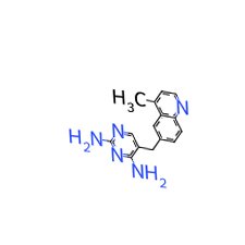 Cc1ccnc2ccc(Cc3cnc(N)nc3N)cc12